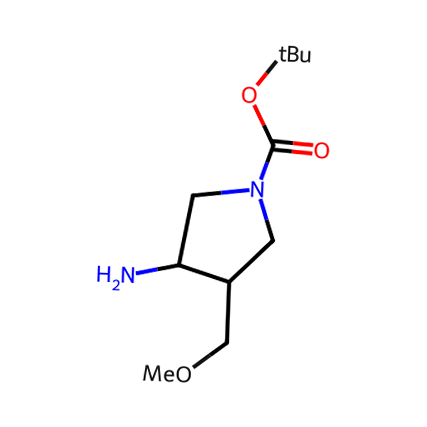 COCC1CN(C(=O)OC(C)(C)C)CC1N